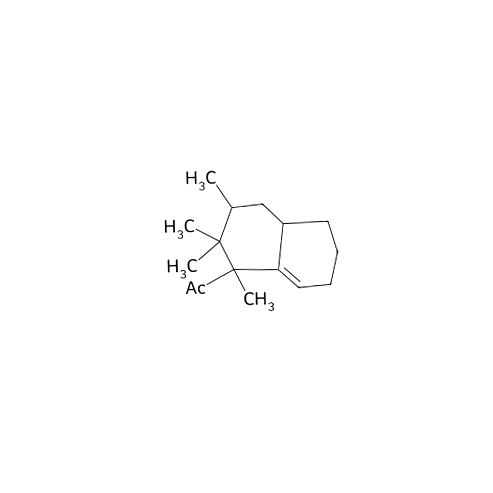 CC(=O)C1(C)C2=CCCCC2CC(C)C1(C)C